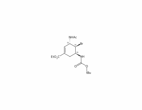 CCOC(=O)C1=C[C@H](NC(C)=O)[C@@H](Br)[C@@H](NC(=O)OC(C)(C)C)C1